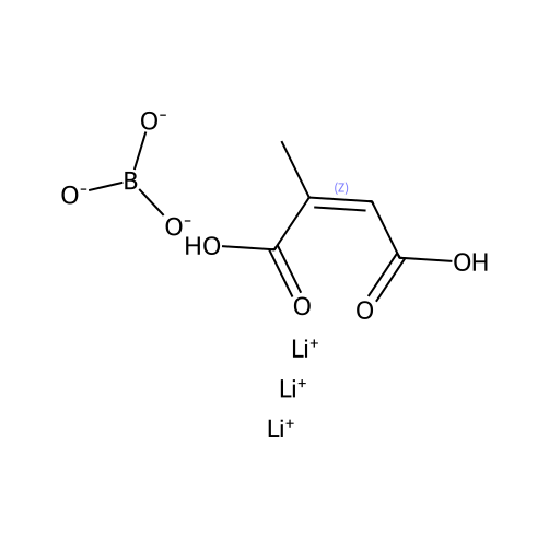 C/C(=C/C(=O)O)C(=O)O.[Li+].[Li+].[Li+].[O-]B([O-])[O-]